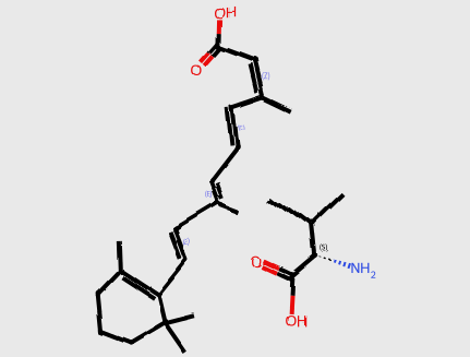 CC(C)[C@H](N)C(=O)O.CC1=C(/C=C/C(C)=C/C=C/C(C)=C\C(=O)O)C(C)(C)CCC1